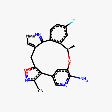 CN/C=C1/Cc2onc(C#N)c2-c2cnc(N)c(c2)O[C@H](C)c2cc(F)ccc2C1=N